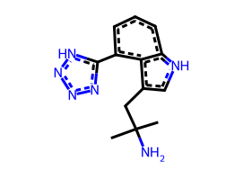 CC(C)(N)Cc1c[nH]c2cccc(-c3nnn[nH]3)c12